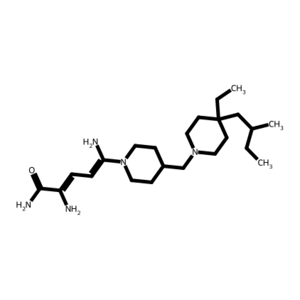 CCC(C)CC1(CC)CCN(CC2CCN(/C(N)=C/C=C(\N)C(N)=O)CC2)CC1